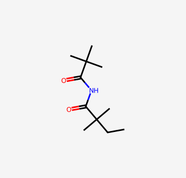 CCC(C)(C)C(=O)NC(=O)C(C)(C)C